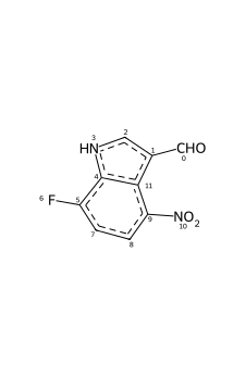 O=Cc1c[nH]c2c(F)ccc([N+](=O)[O-])c12